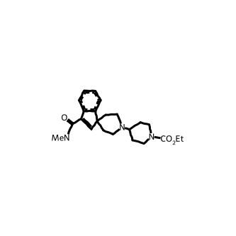 CCOC(=O)N1CCC(N2CCC3(C=C(C(=O)NC)c4ccccc43)CC2)CC1